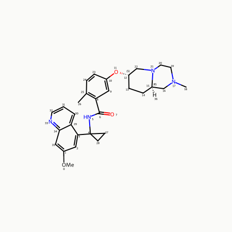 COc1cc(C2(NC(=O)c3cc(O[C@H]4CC[C@@H]5CN(C)CCN5C4)ccc3C)CC2)c2cccnc2c1